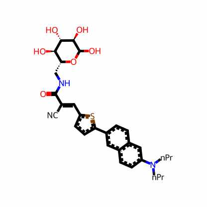 CCCN(CCC)c1ccc2cc(-c3ccc(/C=C(\C#N)C(=O)NC[C@H]4OC(O)[C@H](O)[C@@H](O)[C@@H]4O)s3)ccc2c1